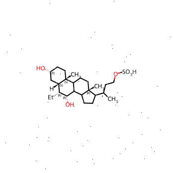 CC[C@H]1[C@@H](O)C2C3CCC(C(C)CCOS(=O)(=O)O)[C@@]3(C)CCC2[C@@]2(C)CC[C@@H](O)C[C@@H]12